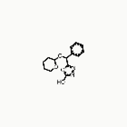 Oc1nnc(C(OC2CCCCO2)c2ccccc2)o1